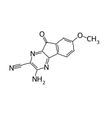 COc1ccc2c(c1)C(=O)c1nc(C#N)c(N)nc1-2